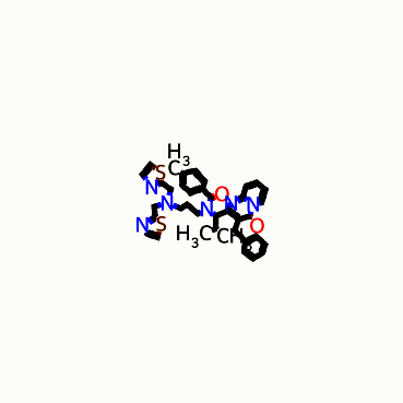 Cc1ccc(C(=O)N(CCCN(Cc2nccs2)Cc2nccs2)C(c2nc3ccccn3c(=O)c2Cc2ccccc2)C(C)C)cc1